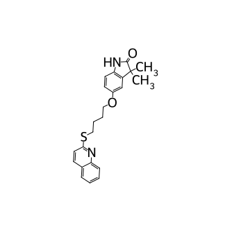 CC1(C)C(=O)Nc2ccc(OCCCCSc3ccc4ccccc4n3)cc21